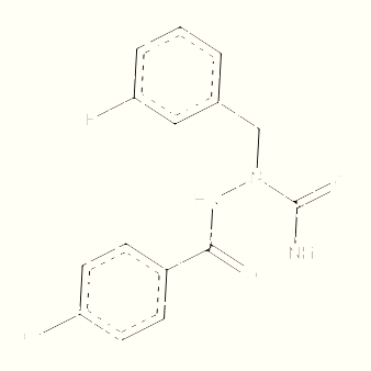 NC(=O)N(Cc1cccc(F)c1)NC(=O)c1ccc(Cl)cc1